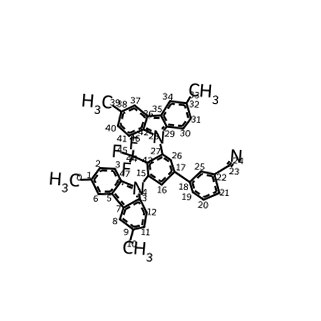 Cc1ccc2c(c1)c1cc(C)ccc1n2-c1cc(-c2cccc(C#N)c2)cc(-n2c3ccc(C)cc3c3cc(C)ccc32)c1C(F)(F)F